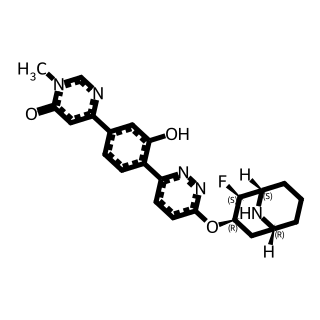 Cn1cnc(-c2ccc(-c3ccc(O[C@@H]4C[C@H]5CCC[C@H](N5)[C@@H]4F)nn3)c(O)c2)cc1=O